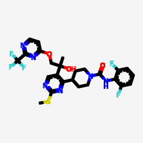 CSc1ncc(C(C)(O)COc2ccnc(C(F)(F)F)n2)c(C2CCN(C(=O)Nc3c(F)cccc3F)CC2)n1